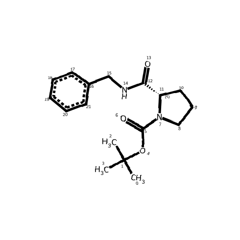 CC(C)(C)OC(=O)N1CCC[C@H]1C(=O)NCc1ccccc1